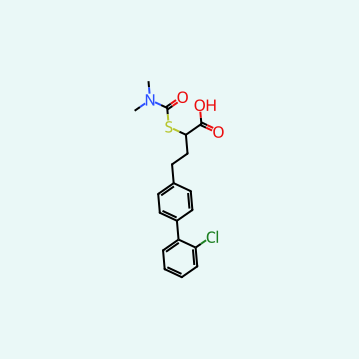 CN(C)C(=O)SC(CCc1ccc(-c2ccccc2Cl)cc1)C(=O)O